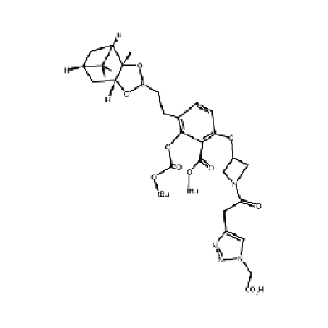 CC(C)(C)OC(=O)Oc1c(CCB2O[C@@H]3C[C@@H]4C[C@@H](C4(C)C)[C@]3(C)O2)ccc(OC2CN(C(=O)Cc3cn(CC(=O)O)nn3)C2)c1C(=O)OC(C)(C)C